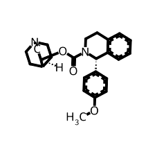 COc1ccc([C@H]2c3ccccc3CCN2C(=O)O[C@@H]2CN3CCC2CC3)cc1